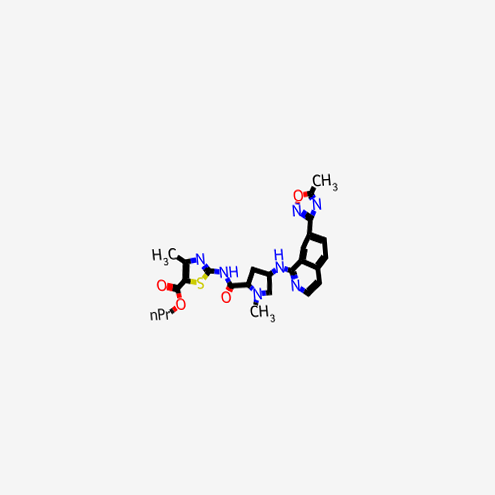 CCCOC(=O)c1sc(NC(=O)C2CC(Nc3nccc4ccc(-c5noc(C)n5)cc34)CN2C)nc1C